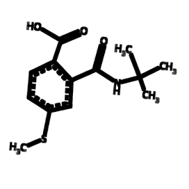 CSc1ccc(C(=O)O)c(C(=O)NC(C)(C)C)c1